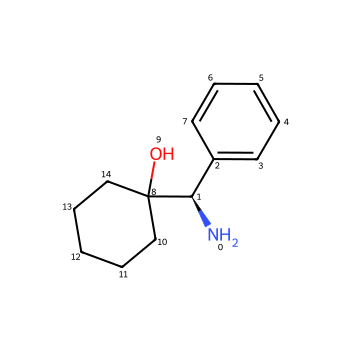 N[C@H](c1ccccc1)C1(O)CCCCC1